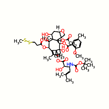 COc1ccc(C)cc1C(=O)OC1[C@@H]2[C@]3(OC(C)=O)CO[C@@H]3C[C@H](O)[C@@]2(C)C(=O)[C@H](OC(=O)CCSSC)C2=C(C)[C@@H](OC(=O)[C@H](O)[C@H](C=C(C)C)NC(=O)OC(C)(C)C)C[C@]1(O)C2(C)C